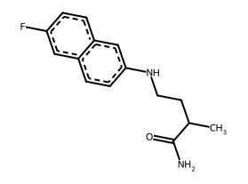 CC(CCNc1ccc2cc(F)ccc2c1)C(N)=O